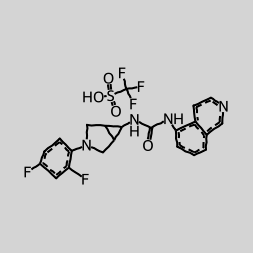 O=C(Nc1cccc2cnccc12)NC1C2CN(c3ccc(F)cc3F)CC21.O=S(=O)(O)C(F)(F)F